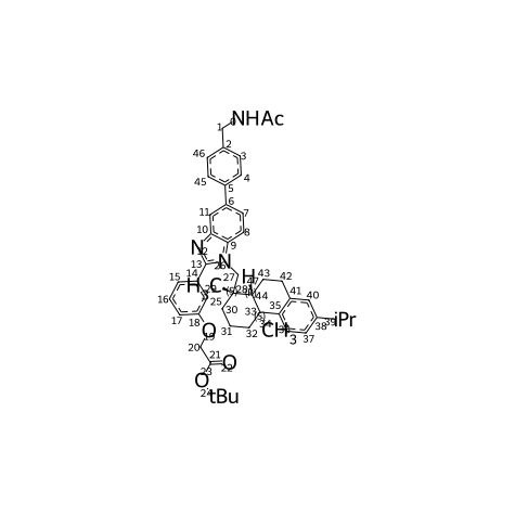 CC(=O)NCc1ccc(-c2ccc3c(c2)nc(-c2cccc(OCC(=O)OC(C)(C)C)c2)n3C[C@@]2(C)CCC[C@]3(C)c4ccc(C(C)C)cc4CC[C@@H]23)cc1